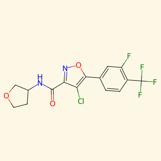 O=C(NC1CCOC1)c1noc(-c2ccc(C(F)(F)F)c(F)c2)c1Cl